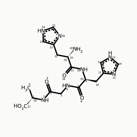 C[C@H](NC(=O)CNC(=O)[C@H](Cc1c[nH]cn1)NC(=O)[C@@H](N)Cc1c[nH]cn1)C(=O)O